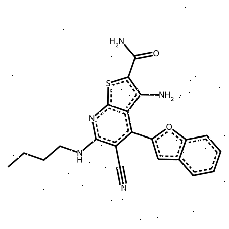 CCCCNc1nc2sc(C(N)=O)c(N)c2c(-c2cc3ccccc3o2)c1C#N